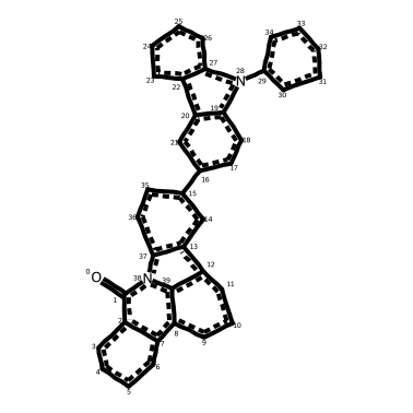 O=c1c2ccccc2c2cccc3c4cc(-c5ccc6c(c5)c5ccccc5n6-c5ccccc5)ccc4n1c23